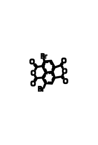 O=C1OC(=O)c2cc(Br)c3c4c(c(Br)cc1c24)C(=O)OC3=O